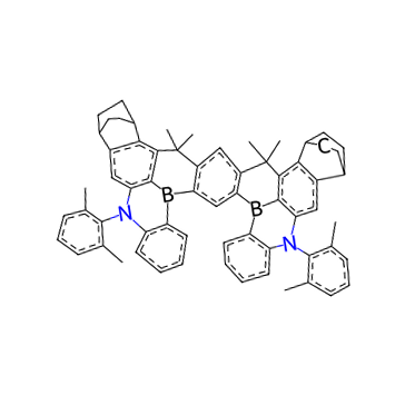 Cc1cccc(C)c1N1c2ccccc2B2c3cc4c(cc3C(C)(C)c3c2c1cc1c3C2CCC1CC2)C(C)(C)c1c2c(cc3c1C1CCC3CC1)N(c1c(C)cccc1C)c1ccccc1B42